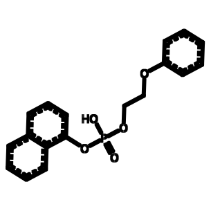 O=P(O)(OCCOc1ccccc1)Oc1cccc2ccccc12